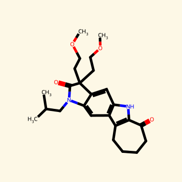 COCCC1(CCOC)C(=O)N(CC(C)C)c2cc3c4c([nH]c3cc21)C(=O)CCCC4